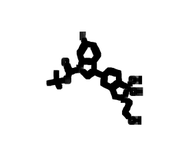 CC(C)(C)OC(=O)n1cc(-c2ccc3c(c2)CN(CCO)S3(O)O)c2ccc(F)cc21